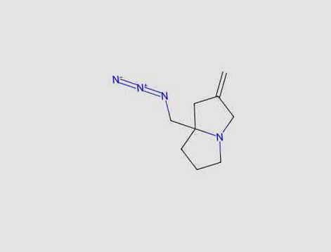 C=C1CN2CCCC2(CN=[N+]=[N-])C1